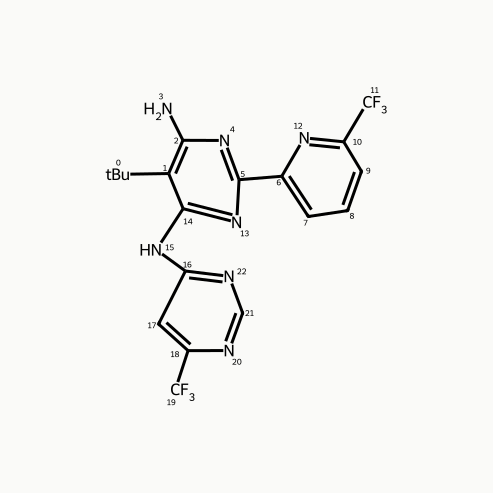 CC(C)(C)c1c(N)nc(-c2cccc(C(F)(F)F)n2)nc1Nc1cc(C(F)(F)F)ncn1